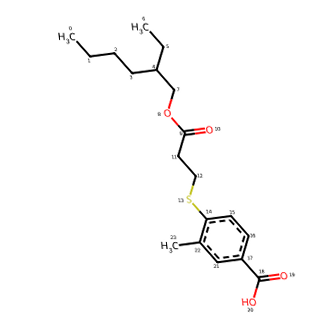 CCCCC(CC)COC(=O)CCSc1ccc(C(=O)O)cc1C